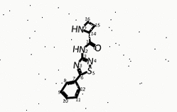 O=C(Nc1nsc(-c2ccccc2)n1)[C@@H]1CCN1